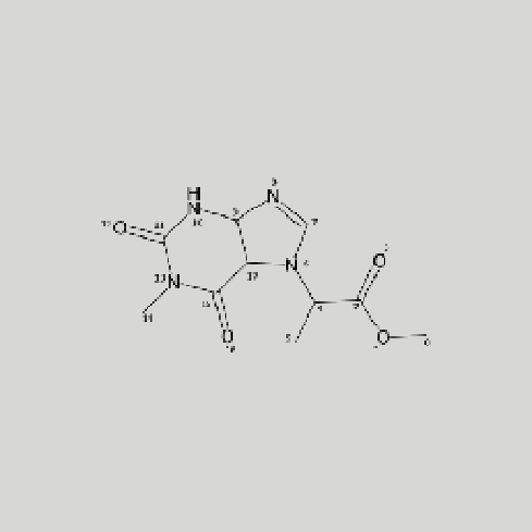 COC(=O)C(C)N1C=NC2NC(=O)N(C)C(=O)C21